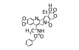 CCC1(O)C(=O)OCc2c1cc1n(c2=O)Cc2c-1nc1cc3c(cc1c2C(C)NC(=O)OCc1ccccc1)OCO3